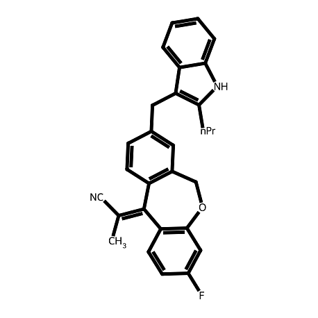 CCCc1[nH]c2ccccc2c1Cc1ccc2c(c1)COc1cc(F)ccc1C2=C(C)C#N